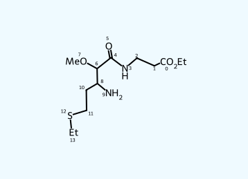 CCOC(=O)CCNC(=O)C(OC)C(N)CCSCC